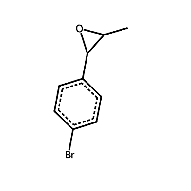 CC1OC1c1ccc(Br)cc1